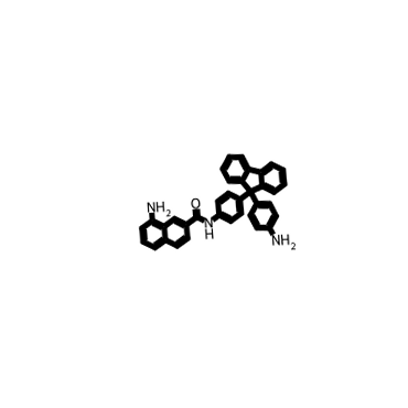 Nc1ccc(C2(c3ccc(NC(=O)c4ccc5cccc(N)c5c4)cc3)c3ccccc3-c3ccccc32)cc1